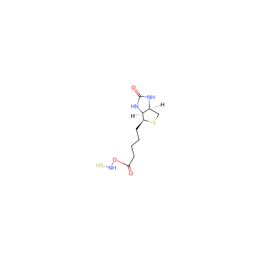 O=C1N[C@H]2[C@H](CS[C@H]2CCCCC(=O)ONS)N1